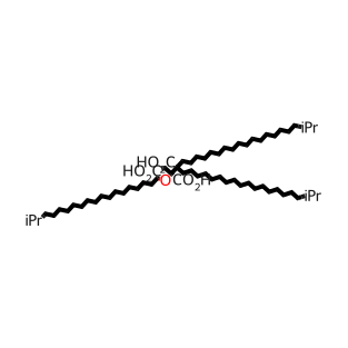 CC(C)CCCCCCCCCCCCCCCCCOC(CC(=O)O)(C(=O)O)C(CCCCCCCCCCCCCCCCCC(C)C)(CCCCCCCCCCCCCCCCCC(C)C)C(=O)O